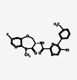 CCc1cnc(C(=O)N[C@H]2COc3cc(F)cnc3N(C)C2=O)nc1-c1cccc(C)c1